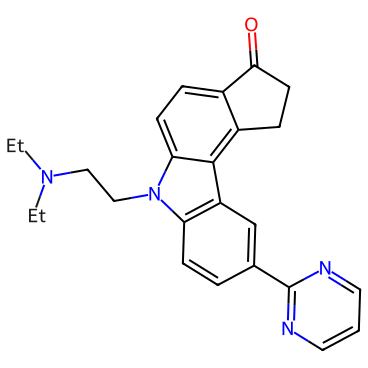 CCN(CC)CCn1c2ccc(-c3ncccn3)cc2c2c3c(ccc21)C(=O)CC3